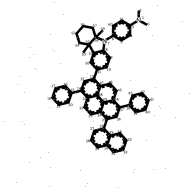 CN(C)c1ccc(N2c3ccc(-c4cc(-c5ccccc5)c5ccc6c(-c7cccc8ccccc78)cc(-c7ccccc7)c7ccc4c5c76)cc3C3(C)CCCCC23C)cc1